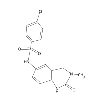 CN1Cc2cc(NS(=O)(=O)c3ccc(Cl)cc3)ccc2NC1=O